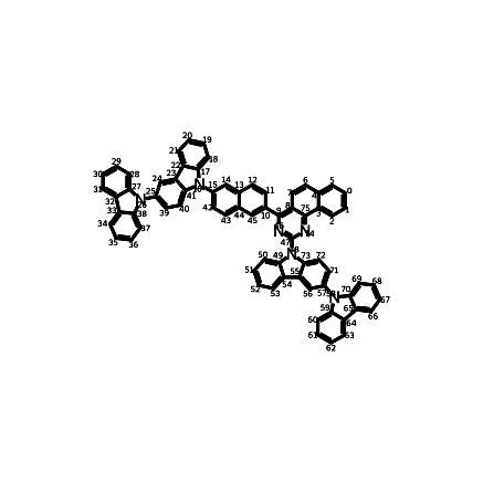 c1ccc2c(c1)ccc1c(-c3ccc4cc(-n5c6ccccc6c6cc(-n7c8ccccc8c8ccccc87)ccc65)ccc4c3)nc(-n3c4ccccc4c4cc(-n5c6ccccc6c6ccccc65)ccc43)nc12